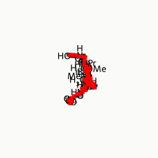 CC[C@H](C)[C@@H]([C@@H](CC(=O)N1CCC[C@H]1[C@H](OC)[C@@H](C)C(=O)N[C@@H](Cc1ccccc1)C(=O)Nc1ccc(CNC(=O)CCCCCN2C(=O)C=CC2=O)cc1)OC)N(C)C(=O)[C@@H](NC(=O)CC1CC[C@H](NC(=O)CCCCCO)C1)C(C)C